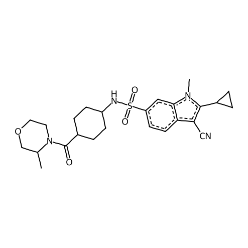 CC1COCCN1C(=O)C1CCC(NS(=O)(=O)c2ccc3c(C#N)c(C4CC4)n(C)c3c2)CC1